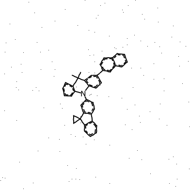 CC1(C)c2ccccc2N(c2ccc3c(c2)C2(CC2)c2ccccc2-3)c2ccc(-c3ccc4ccccc4c3)cc21